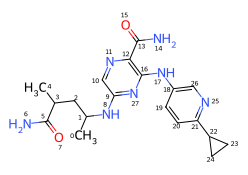 CC(CC(C)C(N)=O)Nc1cnc(C(N)=O)c(Nc2ccc(C3CC3)nc2)n1